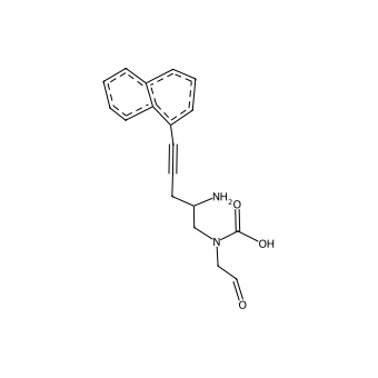 NC(CC#Cc1cccc2ccccc12)CN(CC=O)C(=O)O